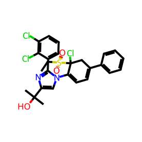 CCS(=O)(=O)C1(Cl)CC(c2ccccc2)=CC=C1n1cc(C(C)(C)O)nc1-c1cccc(Cl)c1Cl